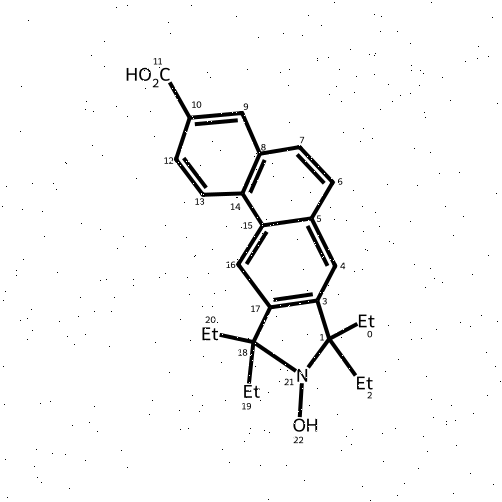 CCC1(CC)c2cc3ccc4cc(C(=O)O)ccc4c3cc2C(CC)(CC)N1O